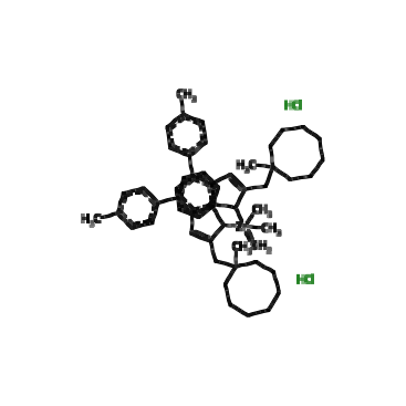 Cc1ccc(-c2cccc3c2C=C(CC2(C)CCCCCCC2)[CH]3[Zr]([CH3])([CH3])(=[SiH2])[CH]2C(CC3(C)CCCCCCC3)=Cc3c(-c4ccc(C)cc4)cccc32)cc1.Cl.Cl